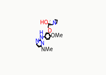 CNc1ccnc(Nc2ccc(OC)c(OC[C@@](C)(O)CN3CCC3)c2)n1